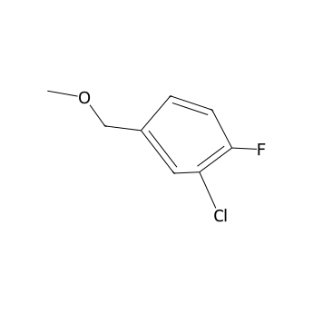 COCc1ccc(F)c(Cl)c1